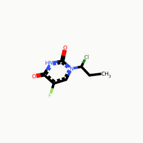 CCC(Cl)n1cc(F)c(=O)[nH]c1=O